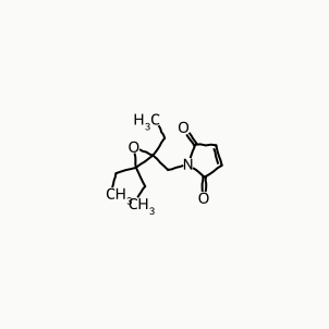 CCC1(CC)OC1(CC)CN1C(=O)C=CC1=O